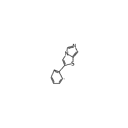 [c]1ccccc1-c1cn2cncc2s1